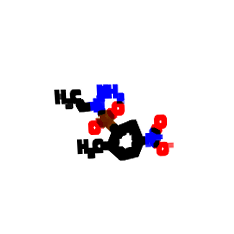 CCN(N)S(=O)(=O)c1cc([N+](=O)[O-])ccc1C